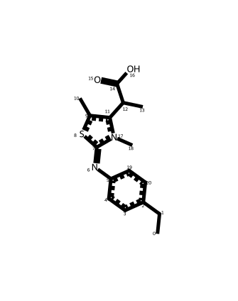 CCc1ccc(N=c2sc(C)c(C(C)C(=O)O)n2C)cc1